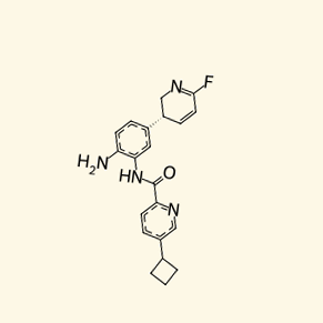 Nc1ccc([C@H]2C=CC(F)=NC2)cc1NC(=O)c1ccc(C2CCC2)cn1